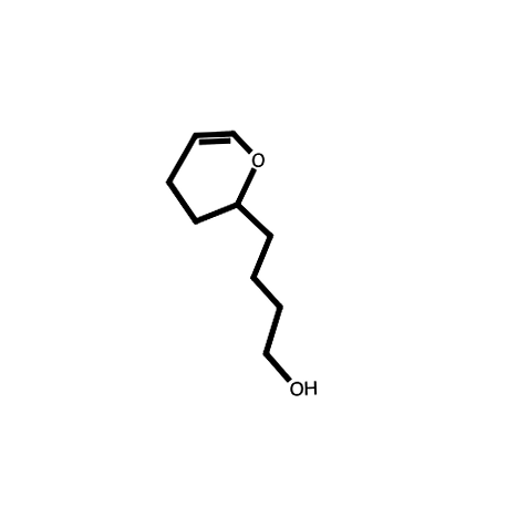 OCCCCC1CCC=CO1